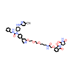 N#Cc1ccc(N[C@H]2CC[C@H](N(C(=O)NCc3ccccc3)c3ccc(-c4ccnc(OCCOCCOCCCCNC(=O)COc5cccc6c5C(=O)N(C5CCC(=O)NC5=O)C6=O)c4)cc3)CC2)nc1